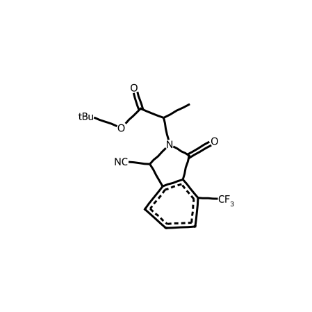 CC(C(=O)OC(C)(C)C)N1C(=O)c2c(cccc2C(F)(F)F)C1C#N